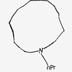 CCCN1CCCCCCCCC1